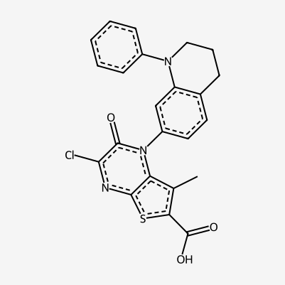 Cc1c(C(=O)O)sc2nc(Cl)c(=O)n(-c3ccc4c(c3)N(c3ccccc3)CCC4)c12